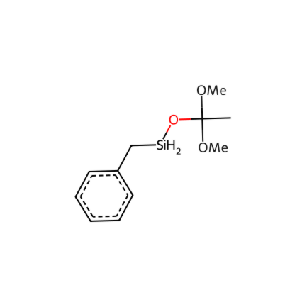 COC(C)(OC)O[SiH2]Cc1ccccc1